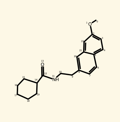 COc1ccc2ccc(CCNC(=O)C3CCCCC3)cc2c1